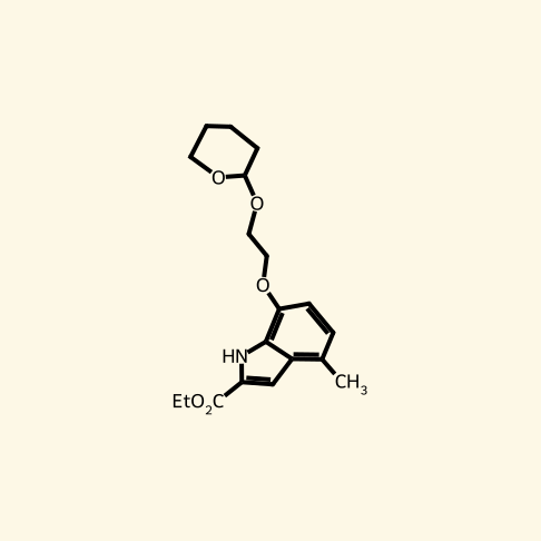 CCOC(=O)c1cc2c(C)ccc(OCCOC3CCCCO3)c2[nH]1